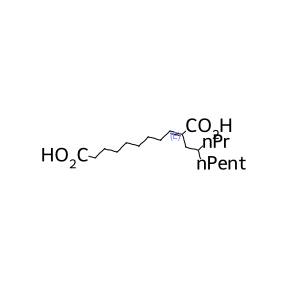 CCCCCC(CCC)C/C(=C\CCCCCCCC(=O)O)C(=O)O